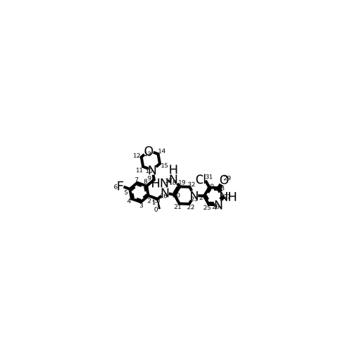 C[C@@H](c1ccc(F)cc1CN1CCOCC1)N1NNC2=C1CCN(c1cn[nH]c(=O)c1Cl)C2